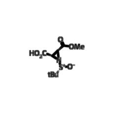 COC(=O)[C@@H]1[C@H](C(=O)O)N1[S@+]([O-])C(C)(C)C